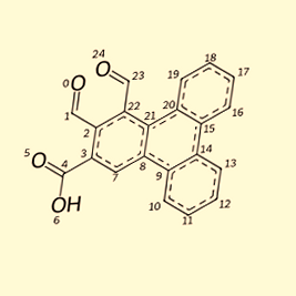 O=Cc1c(C(=O)O)cc2c3ccccc3c3ccccc3c2c1C=O